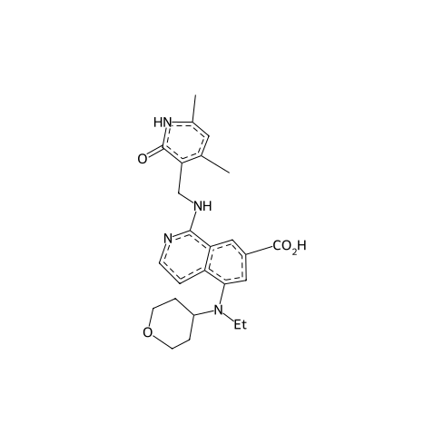 CCN(c1cc(C(=O)O)cc2c(NCc3c(C)cc(C)[nH]c3=O)nccc12)C1CCOCC1